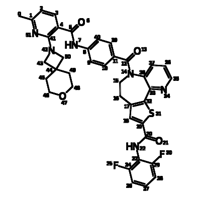 Cc1ccc(C(=O)Nc2ccc(C(=O)N3CCc4cc(C(=O)Nc5c(F)cccc5F)sc4-c4ncccc43)cc2)c(N2CC3(CCOCC3)C2)n1